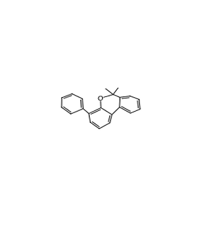 CC1(C)Oc2c(-c3ccccc3)cccc2-c2ccccc21